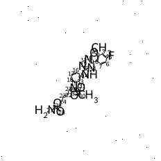 COc1cc(F)ccc1-c1ncnc(Nc2cccc(N(CCCCOC(N)=O)S(C)(=O)=O)c2)n1